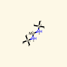 C[Si](C)(C)[NH][Mo][NH][Si](C)(C)C